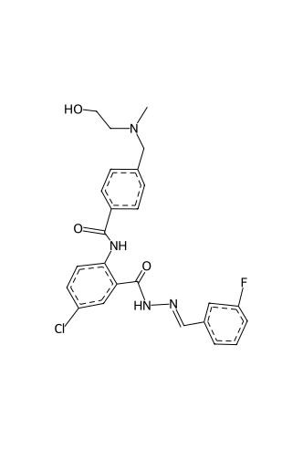 CN(CCO)Cc1ccc(C(=O)Nc2ccc(Cl)cc2C(=O)NN=Cc2cccc(F)c2)cc1